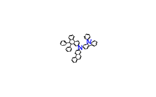 c1ccc(-c2c(-c3ccccc3)c3cc(N(c4ccc5c(ccc6ccccc65)c4)c4ccc5c6ccccc6n(-c6ccccc6)c5c4)ccc3c3ccccc23)cc1